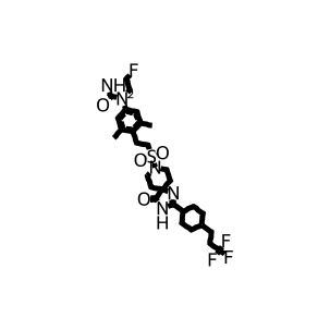 Cc1cc(N(CCF)C(N)=O)cc(C)c1CCS(=O)(=O)N1CCC2(CC1)N=C(C1CCC(CCC(F)(F)F)CC1)NC2=O